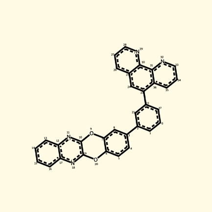 c1cc(-c2ccc3c(c2)Oc2nc4ccccc4nc2O3)cc(-c2cc3cccnc3c3ncccc23)c1